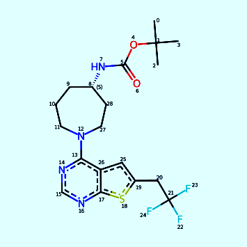 CC(C)(C)OC(=O)N[C@H]1CCCN(c2ncnc3sc(CC(F)(F)F)cc23)CC1